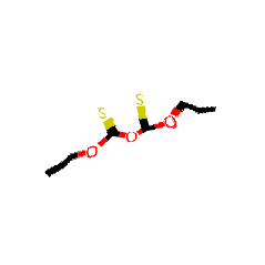 CCOC(=S)OC(=S)OCC